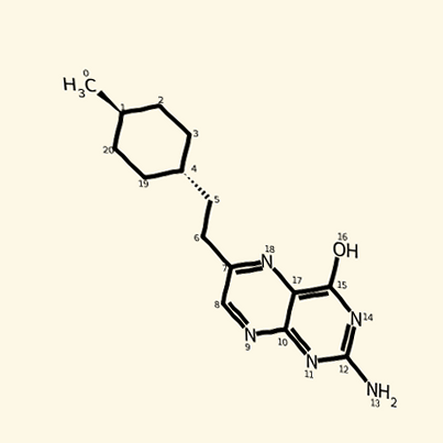 C[C@H]1CC[C@H](CCc2cnc3nc(N)nc(O)c3n2)CC1